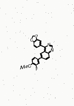 COc1ccc(-c2ccc3ncnc(-c4ccc5c(c4)OCO5)c3c2)cc1F